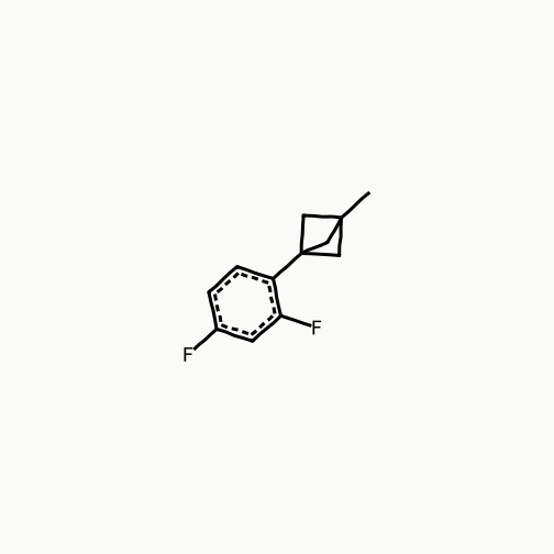 CC12CC(c3ccc(F)cc3F)(C1)C2